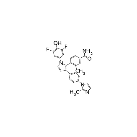 Cc1cc(C(N)=O)ccc1-c1c(-c2ccc(-n3ccnc3C)cc2)ccn1-c1cc(F)c(O)c(F)c1